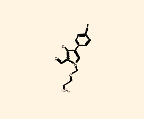 CCCOCn1cc(-c2ccc(F)cc2)c(Br)c1C=O